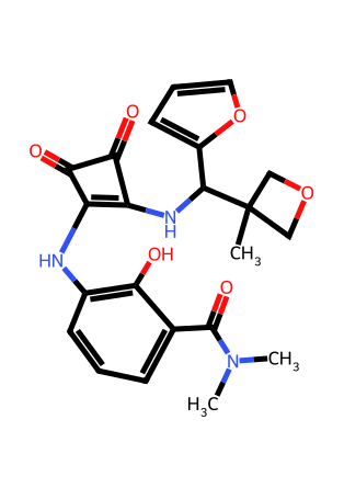 CN(C)C(=O)c1cccc(Nc2c(NC(c3ccco3)C3(C)COC3)c(=O)c2=O)c1O